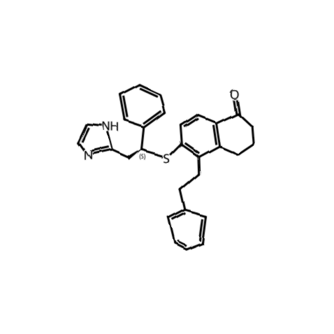 O=C1CCCc2c1ccc(S[C@@H](Cc1ncc[nH]1)c1ccccc1)c2CCc1ccccc1